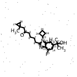 CC1(CC(=O)CCCCc2nc3c(F)cc(C(C)(C)O)cc3n2C2CCC2)CC1